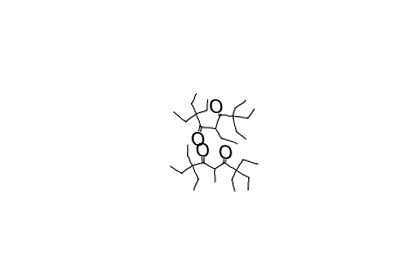 CCC(C(=O)C(CC)(CC)CC)C(=O)C(CC)(CC)CC.CCC(CC)(CC)C(=O)C(C)C(=O)C(CC)(CC)CC